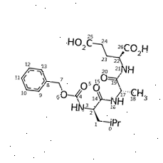 CC(C)C[C@@H](NC(=O)OCc1ccccc1)C(=O)N[C@@H](C)C(=O)N[C@@H](CCC(=O)O)C(=O)O